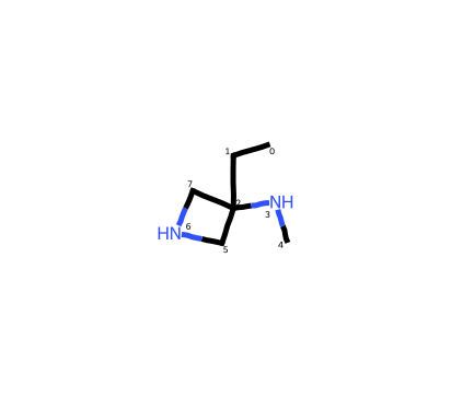 CCC1(NC)CNC1